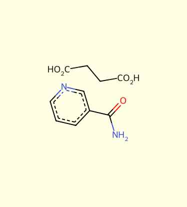 NC(=O)c1cccnc1.O=C(O)CCC(=O)O